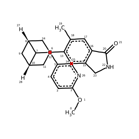 COc1ccc(OC2[C@@H]3C[C@H]2CN(c2nc4c(cc2C)C(=O)NC4)C3)cn1